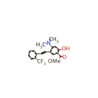 COC(=O)c1cc(C#Cc2ccccc2C(F)(F)F)c(N(C)C)cc1O